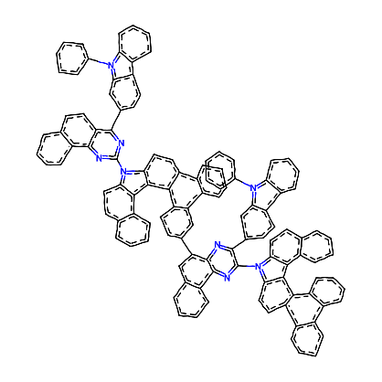 c1ccc(-n2c3ccccc3c3ccc(-c4nc5c(-c6ccc7c(c6)c6ccccc6c6ccc8c(c67)c6c7ccccc7ccc6n8-c6nc(-c7ccc8c9ccccc9n(-c9ccccc9)c8c7)c7ccc8ccccc8c7n6)cc6ccccc6c5nc4-n4c5ccc6ccccc6c5c5c6c7ccccc7c7ccccc7c6ccc54)cc32)cc1